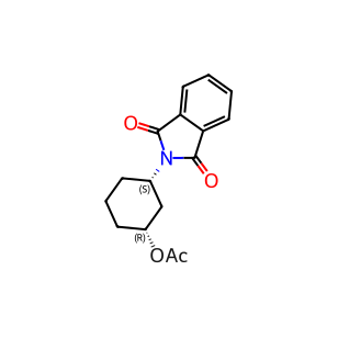 CC(=O)O[C@@H]1CCC[C@H](N2C(=O)c3ccccc3C2=O)C1